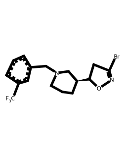 FC(F)(F)c1cccc(CN2CCC[C@H](C3CC(Br)=NO3)C2)c1